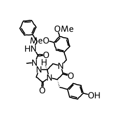 COc1ccc(CN2C[C@H]3N(C(=O)CN3N(C)C(=O)NCc3ccccc3)[C@@H](Cc3ccc(O)cc3)C2=O)cc1OC